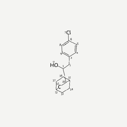 OC(Cc1ccc(Cl)cc1)C1CC2CCC1CC2